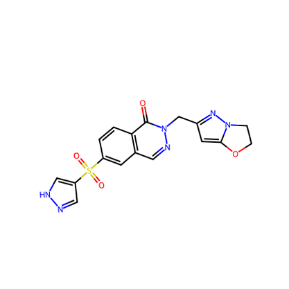 O=c1c2ccc(S(=O)(=O)c3cn[nH]c3)cc2cnn1Cc1cc2n(n1)CCO2